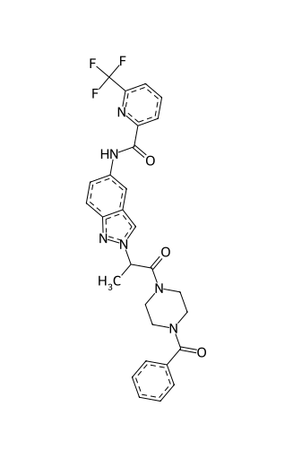 CC(C(=O)N1CCN(C(=O)c2ccccc2)CC1)n1cc2cc(NC(=O)c3cccc(C(F)(F)F)n3)ccc2n1